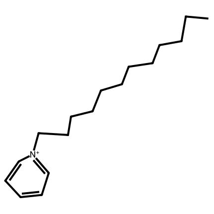 CCCCCCCCCCCC[n+]1ccccc1